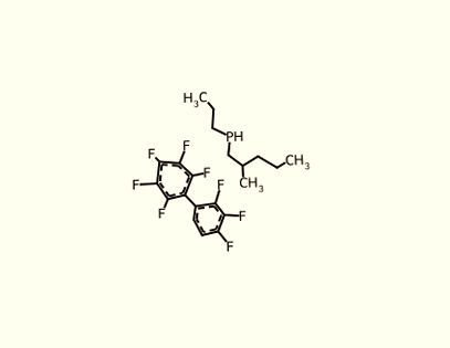 CCCPCC(C)CCC.Fc1ccc(-c2c(F)c(F)c(F)c(F)c2F)c(F)c1F